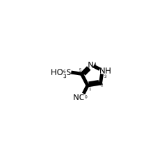 N#Cc1c[nH]nc1S(=O)(=O)O